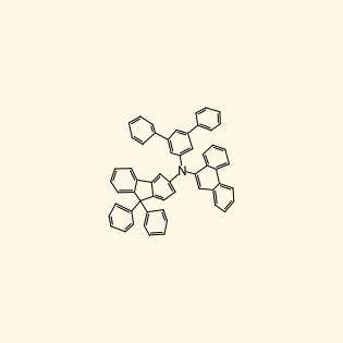 c1ccc(-c2cc(-c3ccccc3)cc(N(c3ccc4c(c3)-c3ccccc3C4(c3ccccc3)c3ccccc3)c3cc4ccccc4c4ccccc34)c2)cc1